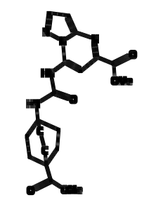 COC(=O)c1cc(NC(=O)NC23CCC(C(=O)OC)(CC2)CC3)n2nccc2n1